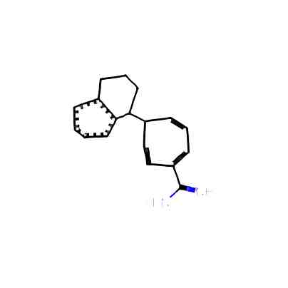 N=C(N)C1=CC=CC(C2CCCc3ccccc32)C=C1